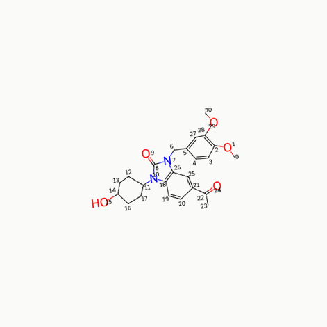 COc1ccc(Cn2c(=O)n(C3CCC(O)CC3)c3ccc(C(C)=O)cc32)cc1OC